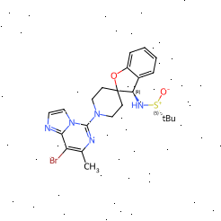 Cc1nc(N2CCC3(CC2)Oc2ccccc2[C@H]3N[S@+]([O-])C(C)(C)C)n2ccnc2c1Br